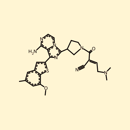 COc1cc(C)cc2cc(-c3nc(C4CCN(C(=O)C(C#N)=CCN(C)C)C4)n4ccnc(N)c34)sc12